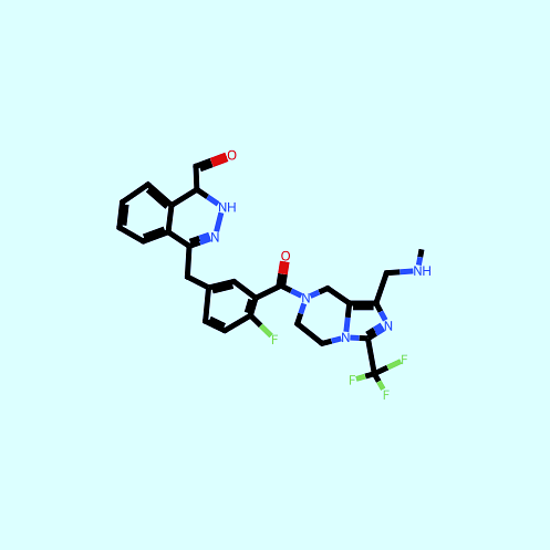 CNCc1nc(C(F)(F)F)n2c1CN(C(=O)c1cc(CC3=NNC(C=O)c4ccccc43)ccc1F)CC2